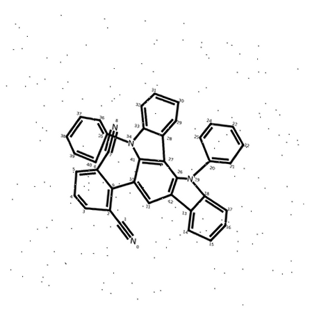 N#Cc1cccc(C#N)c1-c1cc2c3ccccc3n(-c3ccccc3)c2c2c3ccccc3n(-c3ccccc3)c12